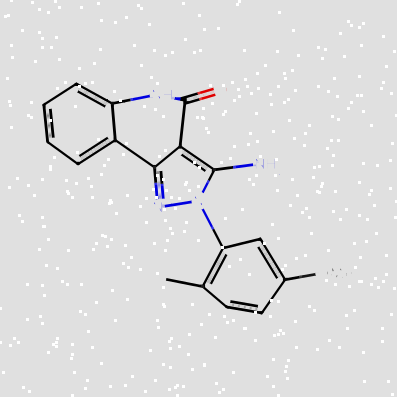 COc1ccc(C)c(-n2nc3c(c2N)c(=O)[nH]c2ccccc23)c1